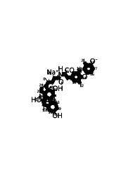 C[C@H](CCC(=O)N[C@@H](Cc1cc(I)c(Oc2ccc([O-])c(I)c2)c(I)c1)C(=O)O)[C@H]1CC[C@H]2[C@@H]3[C@H](O)C[C@@H]4C[C@H](O)CC[C@]4(C)[C@H]3C[C@H](O)[C@]12C.[Na+]